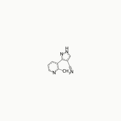 Cc1ncccc1-c1n[nH]cc1C#N